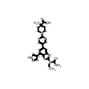 CCN(C(N)=O)c1nc2cc(-c3cnc(N4CCC(C)(C(=O)O)CC4)nc3)cc(-c3cn[nH]c3)c2s1